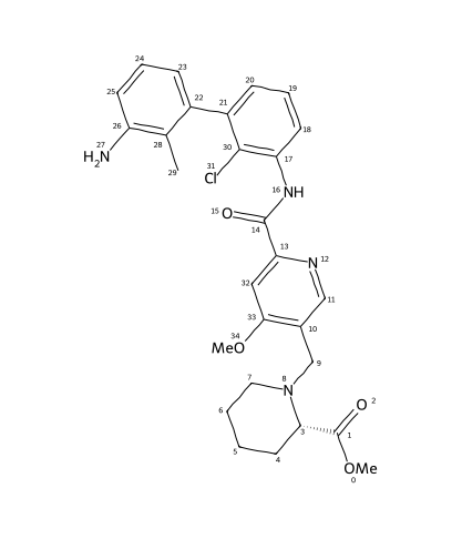 COC(=O)[C@@H]1CCCCN1Cc1cnc(C(=O)Nc2cccc(-c3cccc(N)c3C)c2Cl)cc1OC